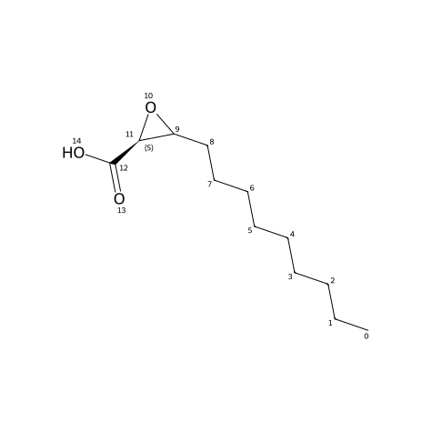 CCCCCCCCCC1O[C@@H]1C(=O)O